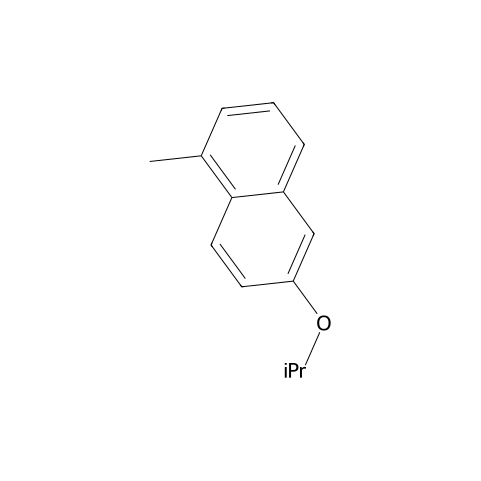 Cc1cccc2cc(OC(C)C)ccc12